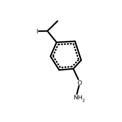 CC(I)c1ccc(ON)cc1